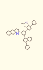 C=C/C=C\c1c(-c2ccccc2)ccc(-c2cc(-c3ccc4cc5ccccc5cc4n3)cc(-c3ccc(-c4ccccc4)c4ccccc34)c2)c1C